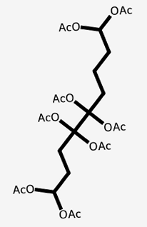 CC(=O)OC(CCCC(OC(C)=O)(OC(C)=O)C(CCC(OC(C)=O)OC(C)=O)(OC(C)=O)OC(C)=O)OC(C)=O